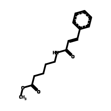 COC(=O)CCCCNC(=O)C=Cc1ccccc1